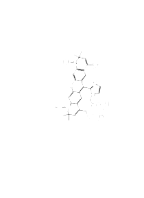 CCC1=CC(C)(C)N(CC)c2cc3c(cc21)C(c1nccn1CC(=O)O)=c1cc2c(cc1O3)=[N+](CC)C(C)(C)C=C2CS(=O)(=O)O